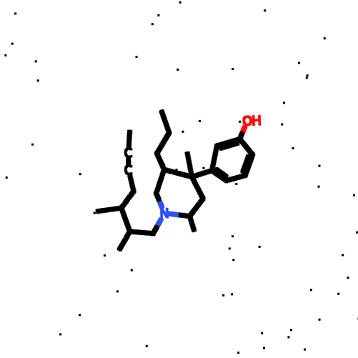 CCCCC(C)C(C)CN1CC(CCC)C(C)(c2cccc(O)c2)CC1C